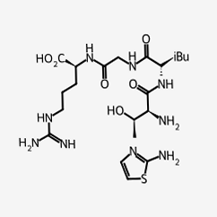 CC[C@H](C)[C@H](NC(=O)[C@@H](N)[C@@H](C)O)C(=O)NCC(=O)N[C@@H](CCCNC(=N)N)C(=O)O.Nc1nccs1